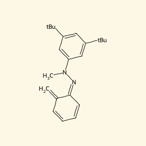 C=C1C=CC=C/C1=N/N(C)c1cc(C(C)(C)C)cc(C(C)(C)C)c1